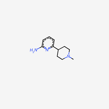 CN1CCC(c2cccc(N)n2)CC1